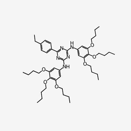 CCCCOc1cc(Nc2nc(Nc3cc(OCCCC)c(OCCCC)c(OCCCC)c3)nc(-c3ccc(CC)cc3)n2)cc(OCCCC)c1OCCCC